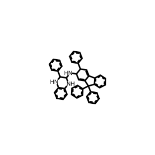 C1=C2C(=CC(NC3Nc4ccccc4NC3c3ccccc3)C1c1ccccc1)C(c1ccccc1)(c1ccccc1)c1ccccc12